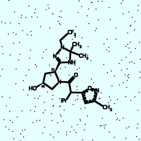 Cc1cc(C(C(=O)N2C[C@H](O)C[C@H]2C2=NN(CC(F)(F)F)C(C)(C)N2)C(C)C)on1